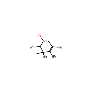 CC(C)C1=C(C(C)C)C(C)(C(C)C)C(C(C)C)C(O)=C1